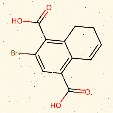 O=C(O)c1cc(Br)c(C(=O)O)c2c1C=CCC2